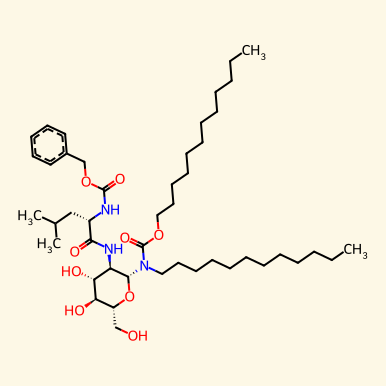 CCCCCCCCCCCCOC(=O)N(CCCCCCCCCCCC)[C@@H]1O[C@H](CO)[C@@H](O)[C@H](O)[C@H]1NC(=O)[C@H](CC(C)C)NC(=O)OCc1ccccc1